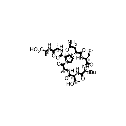 CC[C@H](C)[C@H](NC(=O)[C@H](CC(C)C)NC(=O)[C@@H](N)CC(N)=O)C(=O)N[C@H](C(=O)N[C@@H](C)C(=O)N1CCC[C@H]1C(=O)N[C@@H](C)C(=O)N[C@@H](C)C(=O)O)[C@@H](C)O